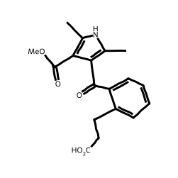 COC(=O)c1c(C)[nH]c(C)c1C(=O)c1ccccc1CCC(=O)O